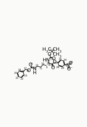 CC(C)(C)OC(=O)N[C@@H](CCCCNC(=O)OCc1ccccc1)C(=O)Oc1ccc([N+](=O)[O-])cc1